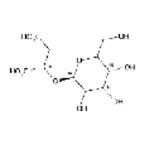 O=C(O)C[C@H](O[C@H]1OC(CO)[C@H](O)[C@H](O)C1O)C(=O)O